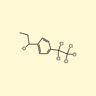 CCC([O])c1ccc(C(Cl)(Cl)C(Cl)(Cl)Cl)cc1